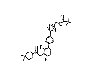 CC1(C)CCC(NCc2c(F)ccc(-c3ccc(-c4ncn(COC(=O)C(C)(C)C)n4)cc3)c2F)CC1